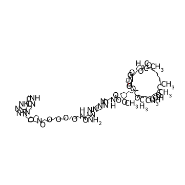 CO[C@H]1CC2CCCC(O2)C(=O)C(=O)N2CCCC[C@H]2C(=O)O[C@H](CC[C@@H]2CC[C@@H](OC(=O)NCc3cnc(N4CCN(c5ncc(C(=O)NCCOCCOCCOCCOCCC(=O)N6CCc7cc(Cn8nc(-c9cnc%10[nH]ccc%10c9)c9c(N)ncnc98)ccc7C6)c(N)n5)CC4)nc3)[C@H](OC)C2)CC(=O)[C@H](C)/C=C(\C)[C@@H](O)[C@@H](O)C(=O)[C@H](C)C[C@H](C)/C=C/C=C/C=C/1C